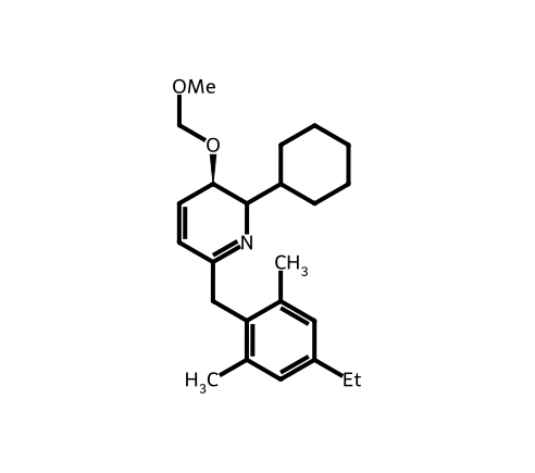 CCc1cc(C)c(CC2=NC(C3CCCCC3)[C@H](OCOC)C=C2)c(C)c1